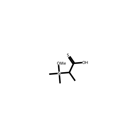 CO[Si](C)(C)C(C)C(O)=S